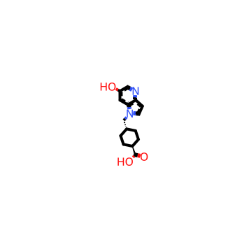 O=C(O)[C@H]1CC[C@H](Cn2ccc3ncc(O)cc32)CC1